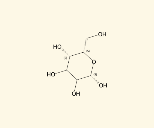 OC[C@@H]1O[C@H](O)C(O)C(O)[C@@H]1O